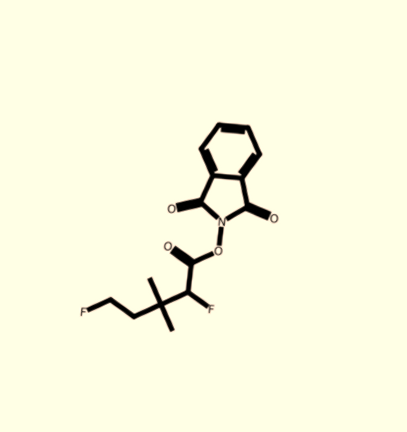 CC(C)(CCF)C(F)C(=O)ON1C(=O)c2ccccc2C1=O